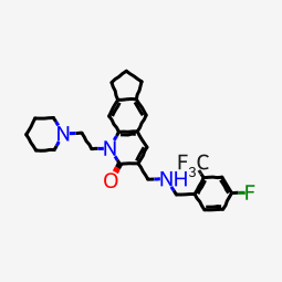 O=c1c(CNCc2ccc(F)cc2C(F)(F)F)cc2cc3c(cc2n1CCN1CCCCC1)CCC3